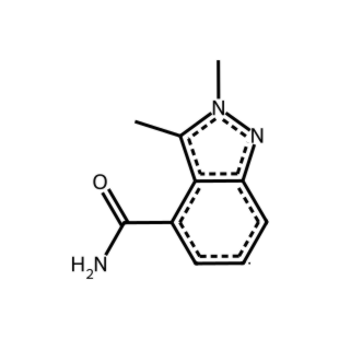 Cc1c2c(C(N)=O)c[c]cc2nn1C